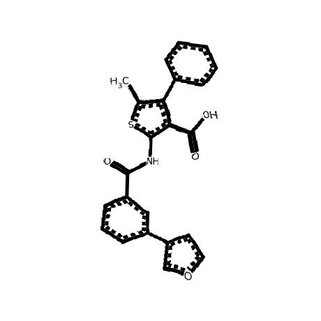 Cc1sc(NC(=O)c2cccc(-c3ccoc3)c2)c(C(=O)O)c1-c1ccccc1